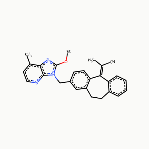 CCOc1nc2c(C)ccnc2n1Cc1ccc2c(c1)CCc1ccccc1C2=C(C)C#N